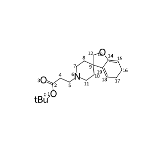 CC(C)(C)OC(=O)CCN1CCC2(CC1)COC1=CCCC=C12